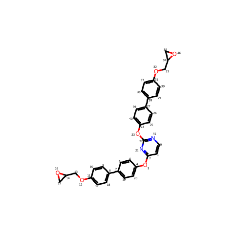 c1cc(Oc2ccc(-c3ccc(OCC4CO4)cc3)cc2)nc(Oc2ccc(-c3ccc(OCC4CO4)cc3)cc2)n1